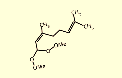 COOC(C=C(C)CCC=C(C)C)OOC